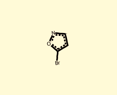 Brc1c[c]no1